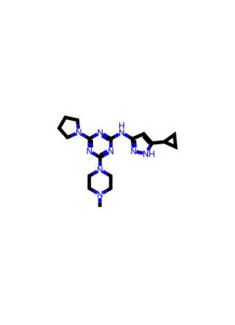 CN1CCN(c2nc(Nc3cc(C4CC4)[nH]n3)nc(N3CCCC3)n2)CC1